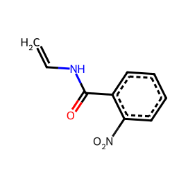 C=CNC(=O)c1ccccc1[N+](=O)[O-]